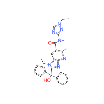 CCn1cnc(NC(=O)c2cc3c(nc2C)nc(C(O)(c2ccccc2)c2ccccc2)n3CC)n1